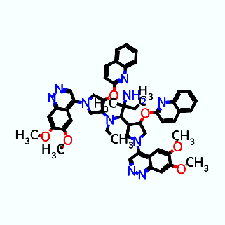 CCN(C1CN(c2cnnc3cc(OC)c(OC)cc23)CC1Oc1ccc2ccccc2n1)C(C1CN(c2cnnc3cc(OC)c(OC)cc23)CC1Oc1ccc2ccccc2n1)C(C)(N)CC